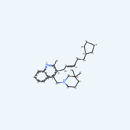 Cc1nc2ccccc2c(CN2CCCC(C)(C)C2)c1C/C=C/CCC1CCCC1